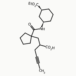 CC#CCC(CC1(C(=O)N[C@@H]2CCC[C@H](C(=O)OCC)C2)CCCC1)C(=O)O